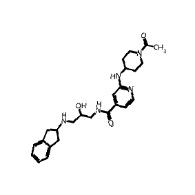 CC(=O)N1CCC(Nc2cc(C(=O)NCC(O)CNC3Cc4ccccc4C3)ccn2)CC1